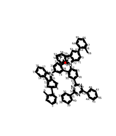 Cc1ccccc1-c1ccc2c(c1)c1ccccc1n2-c1ccc(C(F)(F)F)c(-c2cc(-c3nc(-c4ccccc4)nc(-c4ccccc4)n3)ccc2-n2c3ccccc3c3cc(-c4ccccc4C)ccc32)c1